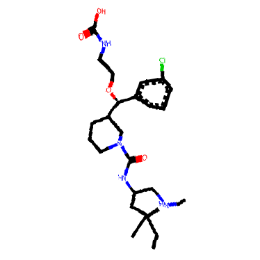 CCC(C)(C)CC(CNC)NC(=O)N1CCCC([C@@H](OCCNC(=O)O)c2cccc(Cl)c2)C1